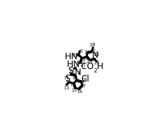 CC(=N)/C(=C(\Nc1nc2c(s1)SC(C)c1cccc(Cl)c1-2)C(=O)O)c1cc(C)nc(C)c1